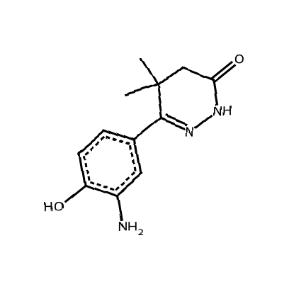 CC1(C)CC(=O)NN=C1c1ccc(O)c(N)c1